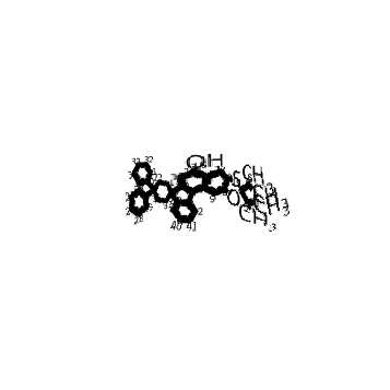 CC(C)C1(C(C)C)Oc2cc3c4c(cc(O)c3cc2S1)C1(CCC(c2ccccc2)(c2ccccc2)CC1)c1ccccc1-4